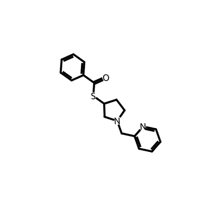 O=C(SC1CCN(Cc2ccccn2)C1)c1ccccc1